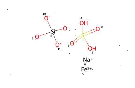 O=S(=O)(O)O.[Fe+3].[Na+].[O-][Si]([O-])([O-])[O-]